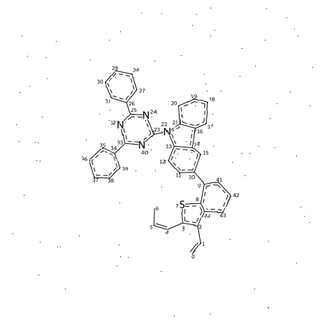 C=Cc1c(/C=C\C)sc2c(-c3ccc4c(c3)c3ccccc3n4-c3nc(-c4ccccc4)nc(-c4ccccc4)n3)cccc12